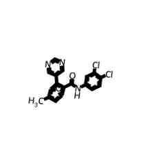 Cc1cc2oc1c(-c1cncnc1)c2C(=O)Nc1ccc(Cl)c(Cl)c1